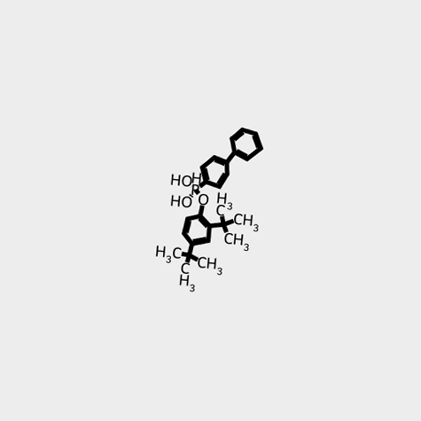 CC(C)(C)c1ccc(O[PH](O)(O)c2ccc(-c3ccccc3)cc2)c(C(C)(C)C)c1